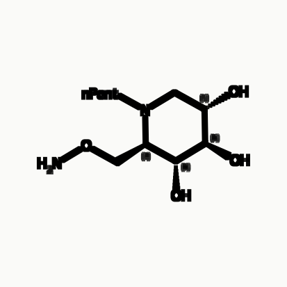 CCCCCN1C[C@H](O)[C@@H](O)[C@H](O)[C@H]1CON